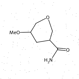 COC1COCC(C(N)=O)C1